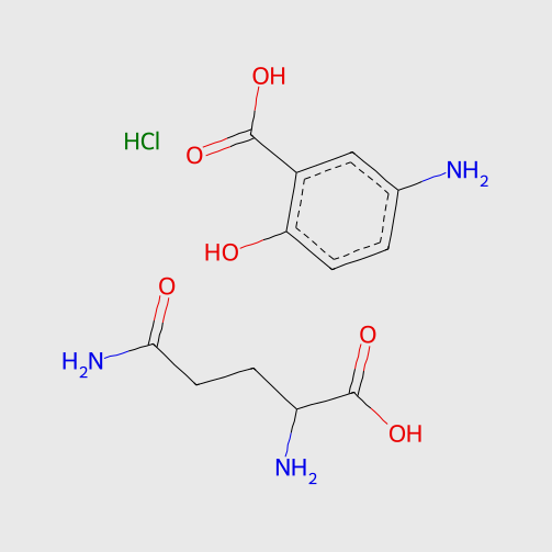 Cl.NC(=O)CCC(N)C(=O)O.Nc1ccc(O)c(C(=O)O)c1